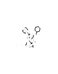 CC(C)C[C@H](NC(=O)[C@H](CC1CCCCC1)OC(=O)N1CCOCC1)C(=O)O